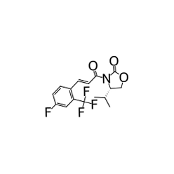 CC(C)[C@H]1COC(=O)N1C(=O)/C=C/c1ccc(F)cc1C(F)(F)F